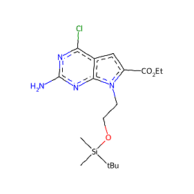 CCOC(=O)c1cc2c(Cl)nc(N)nc2n1CCO[Si](C)(C)C(C)(C)C